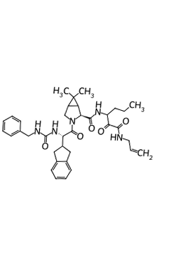 C=CCNC(=O)C(=O)C(CCC)NC(=O)[C@@H]1C2C(CN1C(=O)[C@@H](NC(=O)NCc1ccccc1)C1Cc3ccccc3C1)C2(C)C